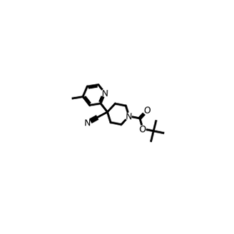 Cc1ccnc(C2(C#N)CCN(C(=O)OC(C)(C)C)CC2)c1